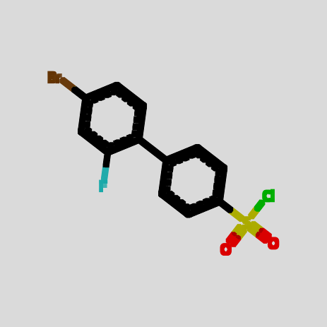 O=S(=O)(Cl)c1ccc(-c2ccc(Br)cc2F)cc1